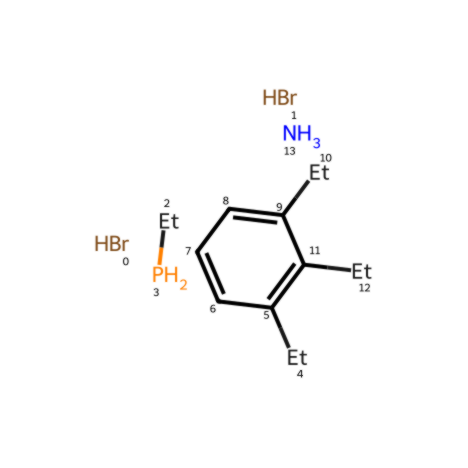 Br.Br.CCP.CCc1cccc(CC)c1CC.N